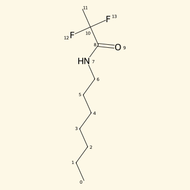 CCCCCCCNC(=O)C(C)(F)F